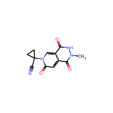 Cn1[nH]c(=O)c2cn(C3(C#N)CC3)c(=O)cc2c1=O